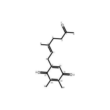 CC(=O)CC/C(C)=C/CC1=CC(=O)C(C)=C(C)C1=O